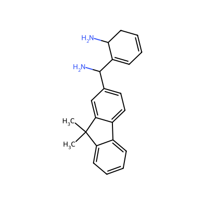 CC1(C)c2ccccc2-c2ccc(C(N)C3=CC=CCC3N)cc21